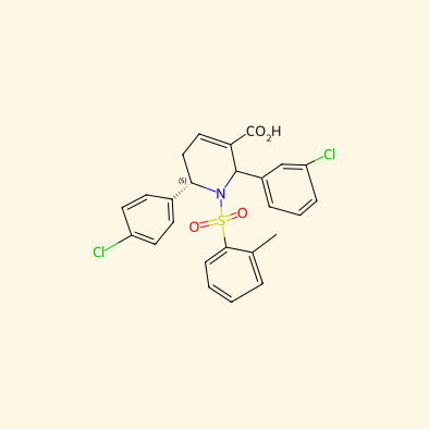 Cc1ccccc1S(=O)(=O)N1C(c2cccc(Cl)c2)C(C(=O)O)=CC[C@H]1c1ccc(Cl)cc1